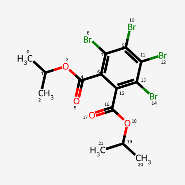 CC(C)OC(=O)c1c(Br)c(Br)c(Br)c(Br)c1C(=O)OC(C)C